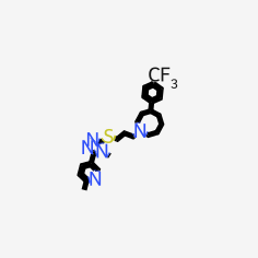 Cc1ccc(-c2nnc(SCCCN3CCCCC(c4ccc(C(F)(F)F)cc4)CC3)n2C)cn1